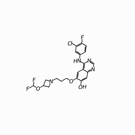 Oc1cc2ncnc(Nc3ccc(F)c(Cl)c3)c2cc1OCCCN1CC(OC(F)F)C1